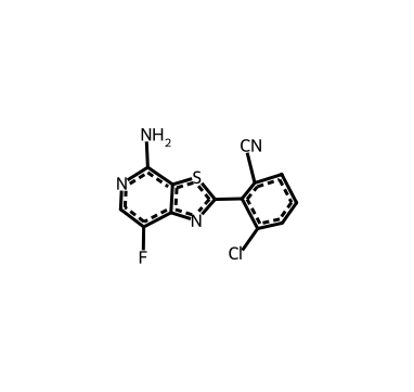 N#Cc1cccc(Cl)c1-c1nc2c(F)cnc(N)c2s1